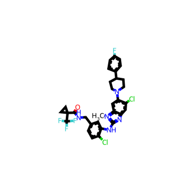 Cn1c(Nc2cc(CNC(=O)C3(C(F)(F)F)CC3)ccc2Cl)nc2cc(Cl)c(N3CCC(c4ccc(F)cc4)CC3)cc21